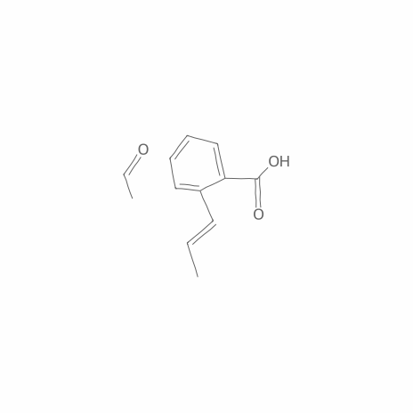 CC=Cc1ccccc1C(=O)O.CC=O